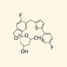 CC1CC(O)C[C@@]2(OCc3cc(F)c(Cc4ccc(-c5ccc(F)cc5)s4)cc32)O1